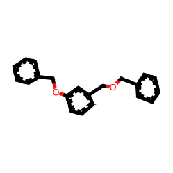 [c]1ccc(OCc2ccccc2)cc1COCc1ccccc1